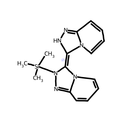 C[Si](C)(C)N1N=C2C=CC=CN2/C1=C1/NN=C2C=CC=CN21